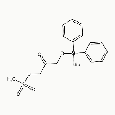 CC(C)(C)[Si](OCC(=O)COS(C)(=O)=O)(c1ccccc1)c1ccccc1